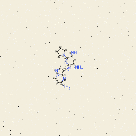 N=C1C=C(N)/C(=N/c2cnn3ccc(N)nc23)N=C1N1CCCC1